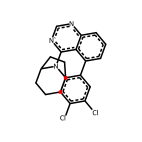 Clc1ccc(-c2cccc3ncnc(N4C5CCCC4CC5)c23)cc1Cl